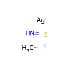 CF.N=S.[Ag]